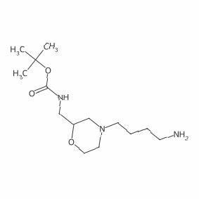 CC(C)(C)OC(=O)NCC1CN(CCCCN)CCO1